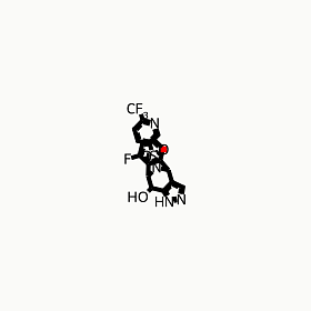 O=S(=O)(c1ccc(C(F)(F)F)nc1)N1C2c3cn[nH]c3C(O)C1c1c(F)cccc12